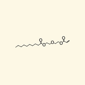 C=CC(=O)OCCOCCOC(=O)CCCCCCCCC